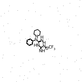 N=C(NOC(F)(F)F)NC(=N)N(c1ccccc1)N1CCCCC1